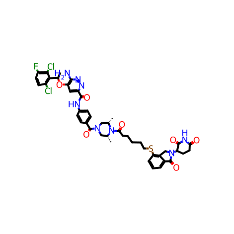 CC(Oc1cc(C(=O)Nc2ccc(C(=O)N3C[C@@H](C)N(C(=O)CCCCCSc4cccc5c4CN(C4CCC(=O)NC4=O)C5=O)[C@@H](C)C3)cc2)nnc1N)c1c(Cl)ccc(F)c1Cl